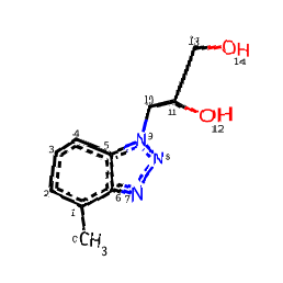 Cc1cccc2c1nnn2CC(O)CO